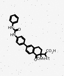 CCC(C(=O)O)C1(OC)CCc2cc(-c3ccc(NC(=O)Nc4ccccc4)cc3)ccc2C1=O